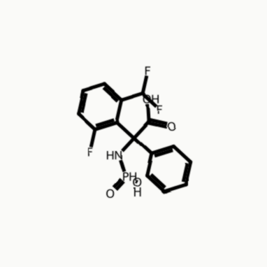 O=C(O)C(N[PH](=O)O)(c1ccccc1)c1c(F)cccc1C(F)F